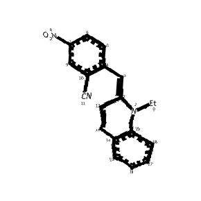 CCN1/C(=C/c2ccc([N+](=O)[O-])cc2C#N)C=Cc2ccccc21